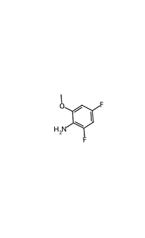 COc1cc(F)cc(F)c1N